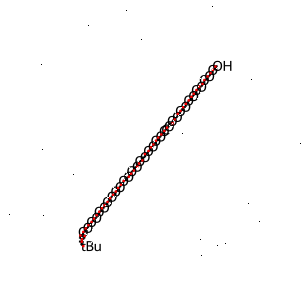 CC(C)(C)CC(C)(C)c1ccc(OCCOCCOCCOCCOCCOCCOCCOCCOCCOCCOCCOCCOCCOCCOCCOCCOCCOCCOCCOCCOCCOCCOCCOCCOCCOCCOCCOCCOCCOCCOCCOCCOCCO)cc1